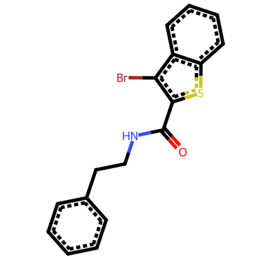 O=C(NCCc1ccccc1)c1sc2ccccc2c1Br